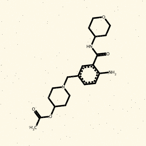 CC(=O)OC1CCN(Cc2ccc(N)c(C(=O)NC3CCOCC3)c2)CC1